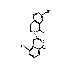 CC1c2cc(Br)ccc2CCN1C(=O)Cc1c(Cl)cccc1Cl